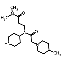 CC1CCN(CC(=O)N(CCC(=O)N(C)C)C2CCNCC2)CC1